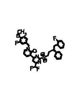 COc1ccc(Cn2cccc(-c3cc(C(F)F)nc(S(=O)(=O)CCC(Cc4ccccc4F)c4ccccc4)n3)c2=O)cc1F